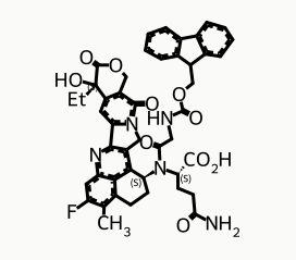 CC[C@@]1(O)C(=O)OCc2c1cc1n(c2=O)Cc2c-1nc1cc(F)c(C)c3c1c2[C@@H](N(C(=O)CNC(=O)OCC1c2ccccc2-c2ccccc21)[C@@H](CCC(N)=O)C(=O)O)CC3